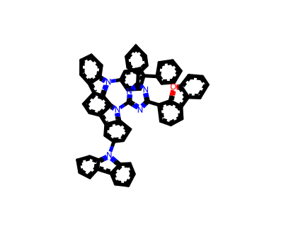 c1ccc(-c2ccc(-n3c4ccccc4c4ccc5c6cc(-n7c8ccccc8c8ccccc87)ccc6n(-c6nc(-c7ccccc7)nc(-c7cccc8c7oc7ccccc78)n6)c5c43)cc2)cc1